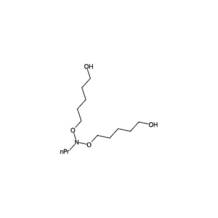 CCCN(OCCCCCO)OCCCCCO